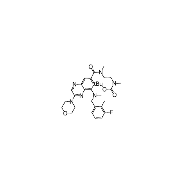 Cc1c(F)cccc1CN(C)c1cc(C(=O)N(C)CCN(C)C(=O)OC(C)(C)C)cc2ncc(N3CCOCC3)nc12